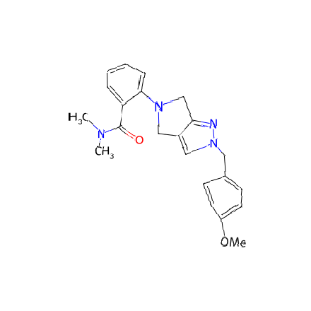 COc1ccc(Cn2cc3c(n2)CN(c2ccccc2C(=O)N(C)C)C3)cc1